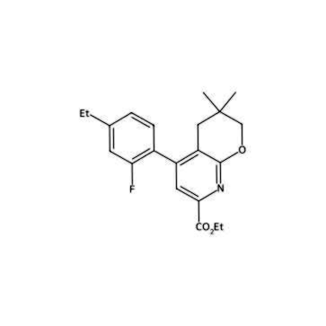 CCOC(=O)c1cc(-c2ccc(CC)cc2F)c2c(n1)OCC(C)(C)C2